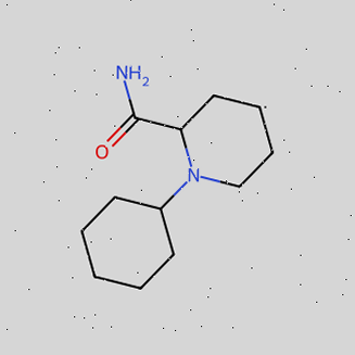 NC(=O)C1C[CH]CCN1C1CCCCC1